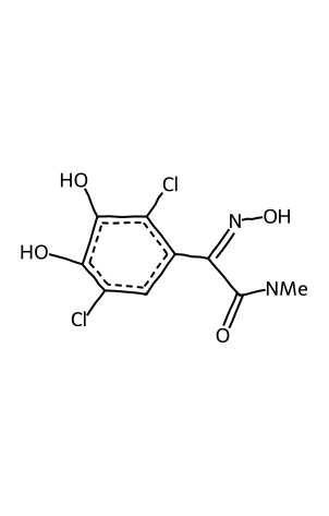 CNC(=O)C(=NO)c1cc(Cl)c(O)c(O)c1Cl